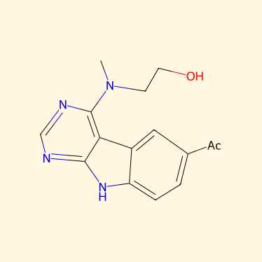 CC(=O)c1ccc2[nH]c3ncnc(N(C)CCO)c3c2c1